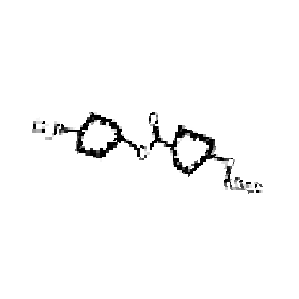 CCCCCCCCCCOc1ccc(C(=O)Oc2ccc([N+](=O)[O-])cc2)cc1